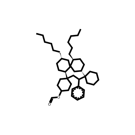 CCCCCC[C@H]1CC[C@H](C2(CC(c3ccccc3)C3([C@H]4CC[C@H](CCCCCC)CC4)CCCCC3)CCC(OC=O)CC2)CC1